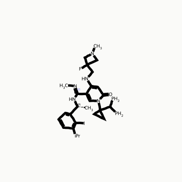 C/N=C(\N[C@H](C)c1cccc(C(C)C)c1I)c1cn(C2(C(P)P)CC2)c(=O)cc1NCC1(F)CN(C)C1